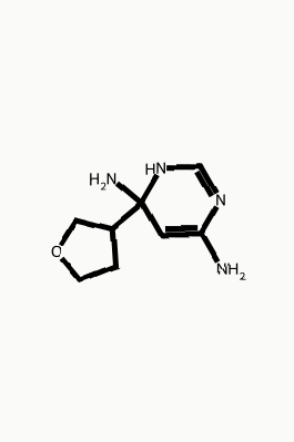 NC1=CC(N)(C2CCOC2)NC=N1